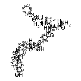 CC(C)[C@H](NC(=O)[C@@H](N)CCNC(=O)COC1C#CCCCCC1)C(=O)N[C@@H](CCCNC(N)=O)C(=O)Nc1ccc(COC(=O)N[C@@H](CO)C(=O)Nc2ccc3c(c2)[C@@]2(C)CCC[C@](C)(C(=O)NC(=O)[C@@]4(C)CCC[C@]5(C)c6cc(O)ccc6CC[C@@H]45)[C@@H]2CC3)cc1